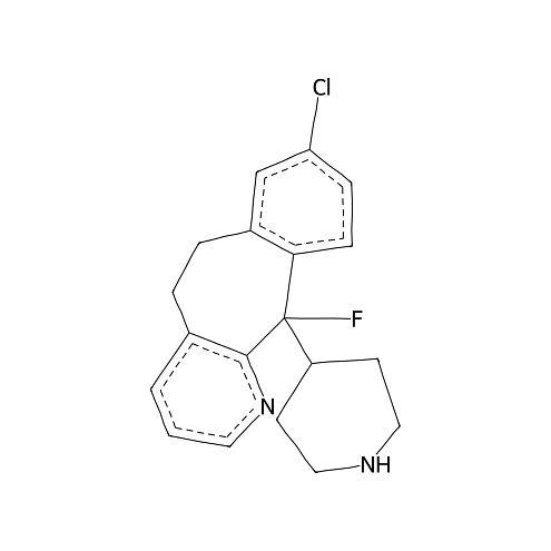 FC1(C2CCNCC2)c2ccc(Cl)cc2CCc2cccnc21